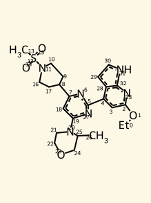 CCOc1cc(-c2nc(C3CCN(S(C)(=O)=O)CC3)cc(N3CCOCC3C)n2)c2cc[nH]c2n1